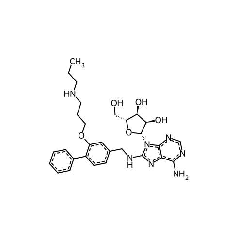 CCCNCCCOc1cc(CNc2nc3c(N)ncnc3n2[C@@H]2O[C@H](CO)[C@@H](O)[C@H]2O)ccc1-c1ccccc1